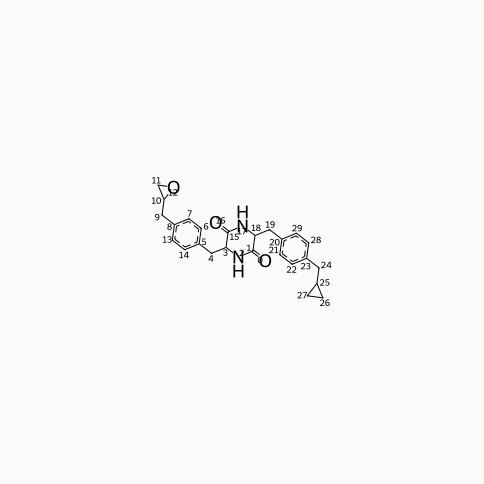 O=C1NC(Cc2ccc(CC3CO3)cc2)C(=O)NC1Cc1ccc(CC2CC2)cc1